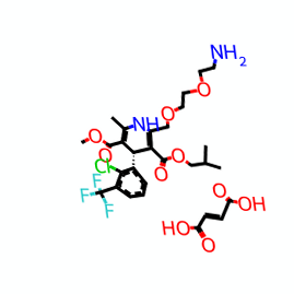 COC(=O)C1=C(C)NC(COCCOCCN)=C(C(=O)OCC(C)C)[C@@H]1c1cccc(C(F)(F)F)c1Cl.O=C(O)/C=C/C(=O)O